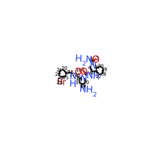 NC(=O)n1cc(NC(=O)N2C[C@@H](N)C[C@H]2C(=O)NCc2cccc(Br)c2)c2ccccc21